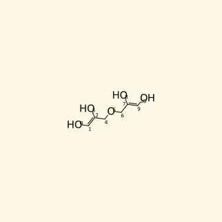 OC=C(O)COCC(O)=CO